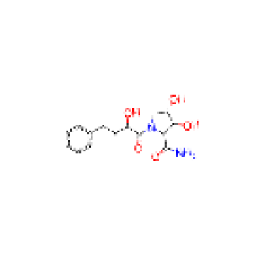 NC(=O)C1[C@H](O)[C@@H](O)CN1C(=O)[C@H](O)[CH]Cc1ccccc1